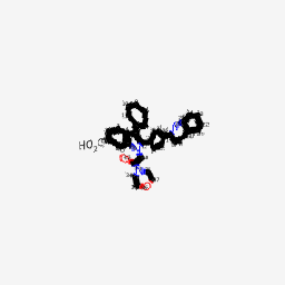 O=C(O)c1ccc2c(C3CCCCC3)c(-c3ccc(-c4ccc5ccccc5n4)cc3)n(CC(=O)N3CCOCC3)c2c1